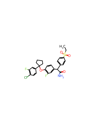 CCS(=O)(=O)c1ccc(C(C(N)=O)c2ccc(OC3(c4ccc(Cl)c(F)c4)CCCC3)c(F)c2)cc1